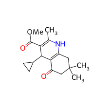 COC(=O)C1=C(C)NC2=C(C(=O)CC(C)(C)C2)C1C1CC1